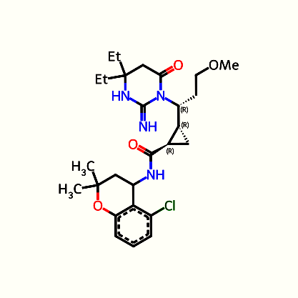 CCC1(CC)CC(=O)N([C@H](CCOC)[C@@H]2C[C@H]2C(=O)NC2CC(C)(C)Oc3cccc(Cl)c32)C(=N)N1